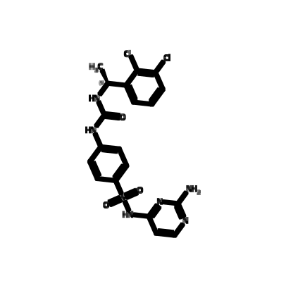 C[C@H](NC(=O)Nc1ccc(S(=O)(=O)Nc2ccnc(N)n2)cc1)c1cccc(Cl)c1Cl